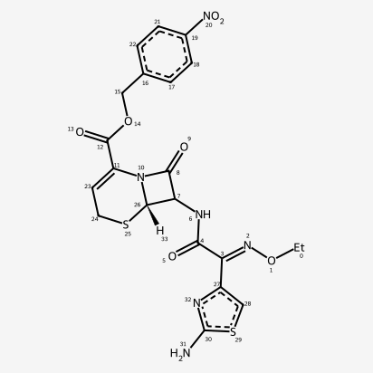 CCON=C(C(=O)NC1C(=O)N2C(C(=O)OCc3ccc([N+](=O)[O-])cc3)=CCS[C@@H]12)c1csc(N)n1